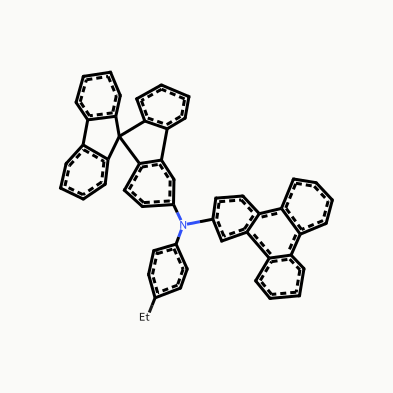 CCc1ccc(N(c2ccc3c(c2)-c2ccccc2C32c3ccccc3-c3ccccc32)c2ccc3c4ccccc4c4ccccc4c3c2)cc1